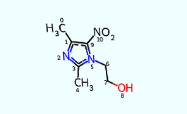 Cc1nc(C)n(CCO)c1[N+](=O)[O-]